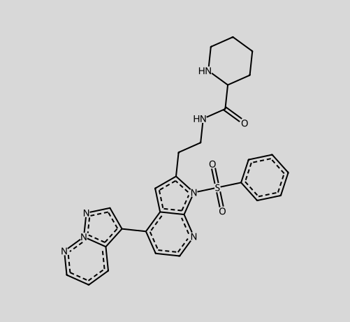 O=C(NCCc1cc2c(-c3cnn4ncccc34)ccnc2n1S(=O)(=O)c1ccccc1)C1CCCCN1